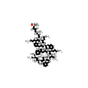 CN[C@@H](CS)C(=O)C(=O)CNN[C@@H](C)C(=O)NC(CCCCN)C(=O)N[C@@H](CC(N)=O)C(=O)NC(Cc1ccccc1)C(=O)N[C@@H](Cc1ccccc1)C(=O)NC(Cc1c[nH]c2ccccc12)C(=O)N[C@@H](CCCCN)C(=O)N[C@H](C(=O)N[C@@H](Cc1ccccc1)C(=O)N[C@H](C(=O)N[C@@H](CO)C(=O)C(=O)[C@H](CS)NC)[C@@H](C)O)[C@@H](C)O